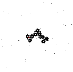 CC1C=CC=CC1N(c1ccccc1)c1ccc(-c2ccc3c(c2)Oc2cccc4c2B3c2cc3c(cc2O4)-c2ccc(N(c4ccccc4)c4ccccc4)cc2C3(C)C)cc1